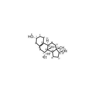 CC[C@@H]1CC2=C(CC[C@@H](O)C2)[C@H]2CC[C@]3(C)[C@@H](O)CC[C@H]3[C@H]12